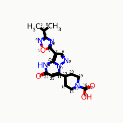 CC(C)c1noc(-c2cnn3c(C4CCN(C(=O)O)CC4)cc(=O)[nH]c23)n1